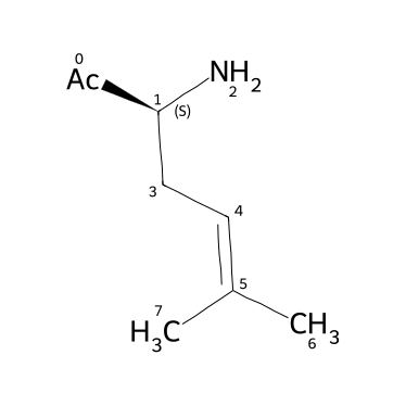 CC(=O)[C@@H](N)CC=C(C)C